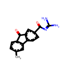 Cc1ccc2c(c1)-c1ccc(C(=O)N=C(N)N)cc1C2=O